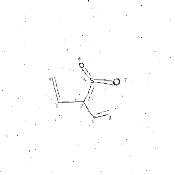 C=CC(C=C)=S(=O)=O